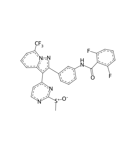 C[S+]([O-])c1nccc(-c2c(-c3cccc(NC(=O)c4c(F)cccc4F)c3)nn3c(C(F)(F)F)cccc23)n1